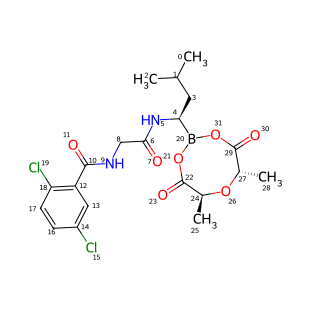 CC(C)C[C@H](NC(=O)CNC(=O)c1cc(Cl)ccc1Cl)B1OC(=O)[C@H](C)O[C@@H](C)C(=O)O1